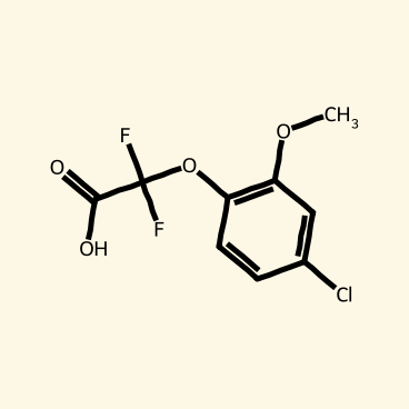 COc1cc(Cl)ccc1OC(F)(F)C(=O)O